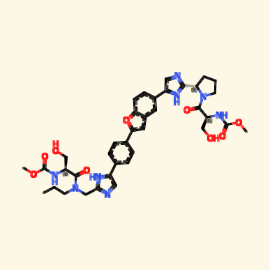 CCCN(Cc1ncc(-c2ccc(-c3cc4cc(-c5cnc([C@@H]6CCCN6C(=O)[C@H](CO)NC(=O)OC)[nH]5)ccc4o3)cc2)[nH]1)C(=O)[C@H](CO)NC(=O)OC